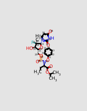 CCC(C(=O)OC(C)C)N(Oc1ccccc1)[PH](=O)OC[C@H]1O[C@@H](n2ccc(=O)[nH]c2=O)[C@](C)(F)[C@@H]1O